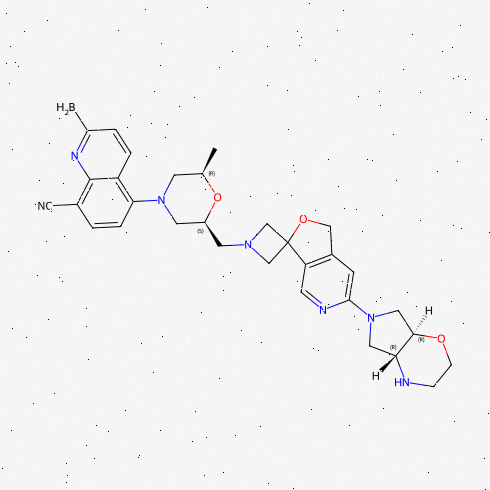 Bc1ccc2c(N3C[C@H](CN4CC5(C4)OCc4cc(N6C[C@H]7NCCO[C@@H]7C6)ncc45)O[C@H](C)C3)ccc(C#N)c2n1